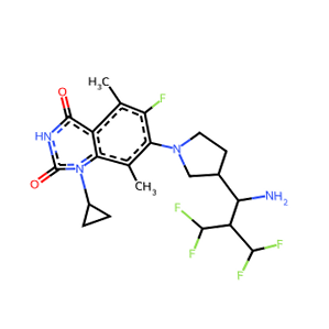 Cc1c(F)c(N2CCC(C(N)C(C(F)F)C(F)F)C2)c(C)c2c1c(=O)[nH]c(=O)n2C1CC1